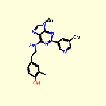 CCC(C)n1cnc2c(NCCc3ccc(O)c(C)c3)nc(-c3cncc(C#N)c3)nc21